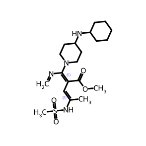 C=N/C(=C(\C=C(/C)NS(C)(=O)=O)C(=O)OC)N1CCC(NC2CCCCC2)CC1